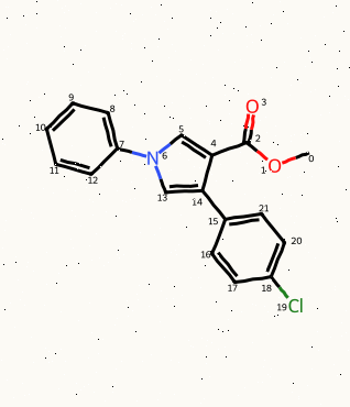 COC(=O)c1cn(-c2ccccc2)cc1-c1ccc(Cl)cc1